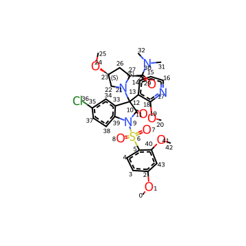 COc1ccc(S(=O)(=O)N2C(=O)C(c3cccnc3OC)(N3C[C@@H](OC)C[C@H]3C(=O)N(C)C)c3cc(Cl)ccc32)c(OC)c1